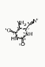 N#Cc1[nH]c(=O)[nH]c(=O)c1N